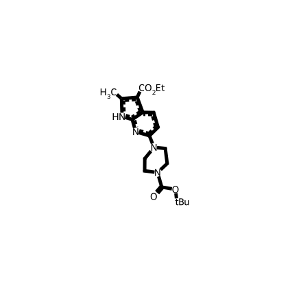 CCOC(=O)c1c(C)[nH]c2nc(N3CCN(C(=O)OC(C)(C)C)CC3)ccc12